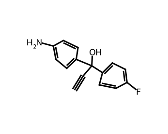 C#CC(O)(c1ccc(N)cc1)c1ccc(F)cc1